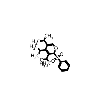 CC(C)C1=COC(S(=O)(=O)c2ccccc2)C(C(C)C)=C1C(C)C